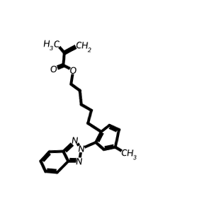 C=C(C)C(=O)OCCCCCc1ccc(C)cc1-n1nc2ccccc2n1